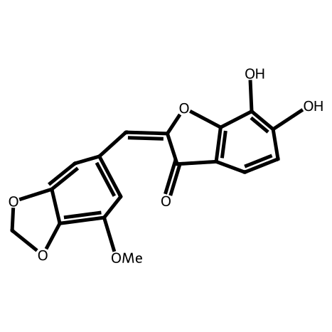 COc1cc(C=C2Oc3c(ccc(O)c3O)C2=O)cc2c1OCO2